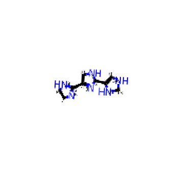 C1=C(C2N=C(C3=NCCN3)CN2)NCN1